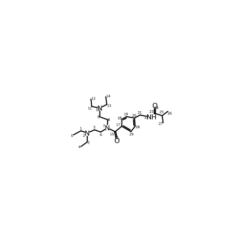 CCN(CC)CCN(CCN(CC)CC)C(=O)c1ccc(CNC(=O)C(C)C)cc1